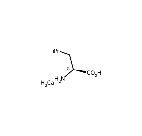 CC(C)C[C@H](N)C(=O)O.[CaH2]